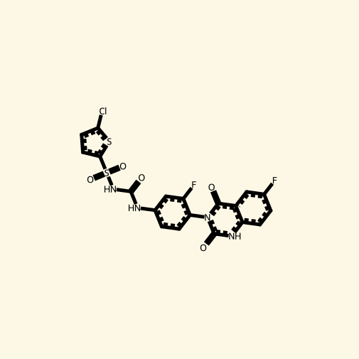 O=C(Nc1ccc(-n2c(=O)[nH]c3ccc(F)cc3c2=O)c(F)c1)NS(=O)(=O)c1ccc(Cl)s1